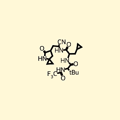 CC(C)(C)C(NC(=O)C(F)(F)F)C(=O)NC(CC1CC1)C(=O)NC(C#N)CC1CC2(CC2)NC1=O